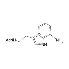 CC(=O)NCCc1c[nH]c2c(N)cccc12